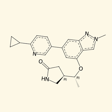 C[C@@H](Oc1cc(-c2ccc(C3CC3)nc2)cc2nn(C)cc12)[C@H]1CNC(=O)C1